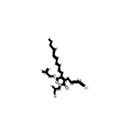 CCCCCCCCCC/C(C(=O)OCC(C)C)=C(\CCCC)C(=O)OCC(C)C